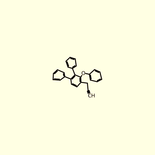 C#CCc1ccc(-c2ccccc2)c(-c2ccccc2)c1Oc1ccccc1